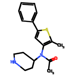 CC(=O)N(c1cc(-c2ccccc2)sc1C)C1CCNCC1